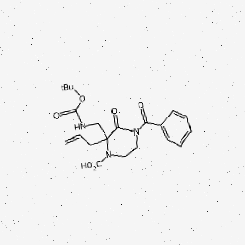 C=CCC1(CNC(=O)OC(C)(C)C)C(=O)N(C(=O)c2ccccc2)CCN1C(=O)O